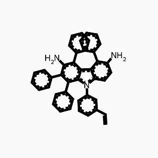 C=Cc1cccc(-n2c3ccc(N)c(-c4ccccc4)c3c3c(-c4ccccc4)c(N)c(-c4ccccc4)c(-c4ccccc4)c32)c1